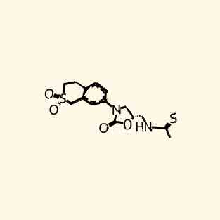 CC(=S)NC[C@H]1CN(c2ccc3c(c2)CS(=O)(=O)CC3)C(=O)O1